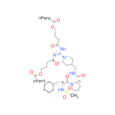 CCCCCC(=O)OCCCC(=O)/N=C(/NC(=O)CCCOC(=O)CCCCC)N1CCC(CNC(=O)[C@@H]2CCCN2C(=O)[C@@H](Cc2ccccc2)NS(C)(=O)=O)CC1